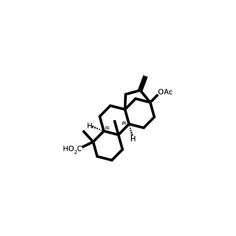 C=C1CC23CC[C@@H]4C(C)(C(=O)O)CCCC4(C)[C@@H]2CCC1(OC(C)=O)C3